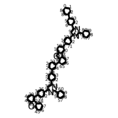 c1ccc(-c2ccc(-c3cc(-c4ccc(-c5ccc6oc7c(-c8cccc(-c9ccc(-c%10cc(-c%11ccc(-c%12cccc%13oc%14ccccc%14c%12%13)cc%11)nc(-c%11ccccc%11)n%10)cc9)c8)cccc7c6c5)cc4)nc(-c4ccccc4)n3)cc2)cc1